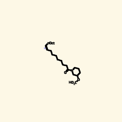 CCCCCCCC/C=C\CCCCCCCC(=O)N1CCCC(OC(=O)O)C1